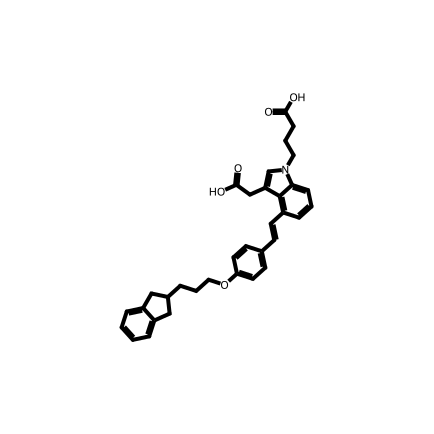 O=C(O)CCCn1cc(CC(=O)O)c2c(C=Cc3ccc(OCCCC4Cc5ccccc5C4)cc3)cccc21